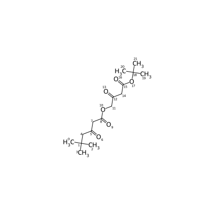 CC(C)(C)CC(=O)CC(=O)OCC(=O)CC(=O)OC(C)(C)C